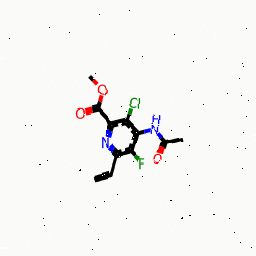 C=Cc1nc(C(=O)OC)c(Cl)c(NC(C)=O)c1F